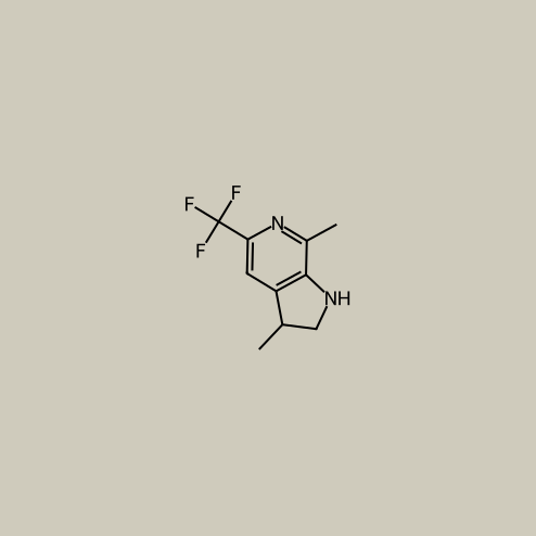 Cc1nc(C(F)(F)F)cc2c1NCC2C